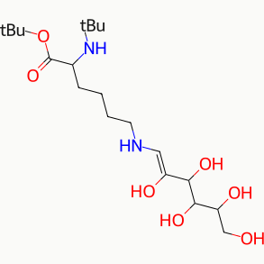 CC(C)(C)NC(CCCCN/C=C(\O)C(O)C(O)C(O)CO)C(=O)OC(C)(C)C